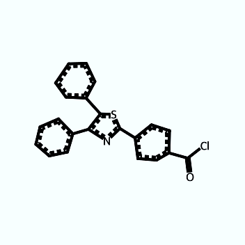 O=C(Cl)c1ccc(-c2nc(-c3ccccc3)c(-c3ccccc3)s2)cc1